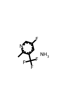 Cc1ncc(F)cc1C(F)(F)F.N